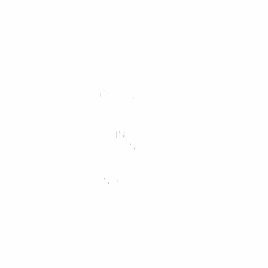 CC(C)C(=O)C1NN(CC(C)(C)N=O)c2ccccc21